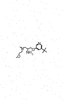 COCCN(C)C[C@H](N)COc1cncc(C(C)(C)C)c1